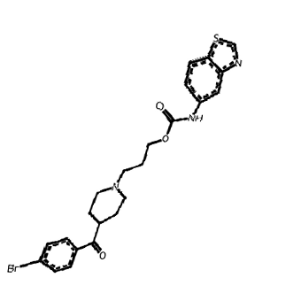 O=C(Nc1ccc2scnc2c1)OCCCN1CCC(C(=O)c2ccc(Br)cc2)CC1